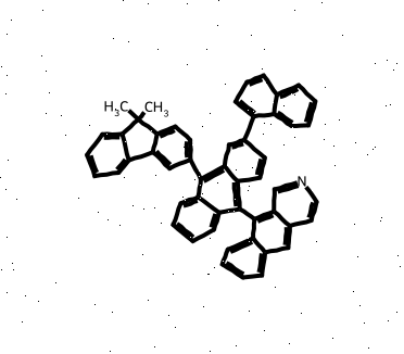 CC1(C)c2ccccc2-c2cc(-c3c4ccccc4c(-c4c5ccccc5cc5ccncc45)c4ccc(-c5cccc6ccccc56)cc34)ccc21